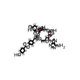 Nc1ncnc2c1ncn2[C@@H]1O[C@@H]2COP(=O)(SCc3ccc(OC(=O)c4ccc(O)cc4)cc3)O[C@@H]3[C@H](F)[C@@H](COP(=O)(O)O[C@@H]1C2)O[C@H]3n1ccc(=O)[nH]c1=O